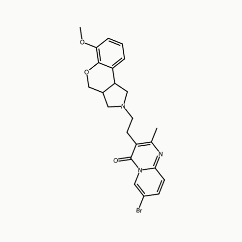 COc1cccc2c1OCC1CN(CCc3c(C)nc4ccc(Br)cn4c3=O)CC21